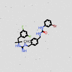 CC(C)(Cc1cc(F)cc(F)c1)NC(=N)N(C=O)Cc1ccc(CNC(=O)Nc2cccc(Br)c2)cc1